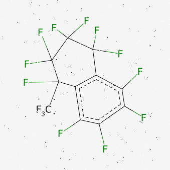 Fc1c(F)c(F)c2c(c1F)C(F)(F)C(F)(F)C(F)(F)C2(F)C(F)(F)F